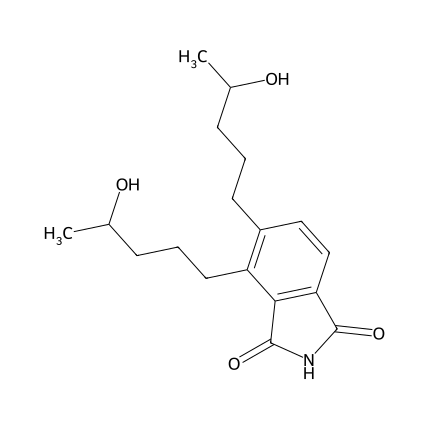 CC(O)CCCc1ccc2c(c1CCCC(C)O)C(=O)NC2=O